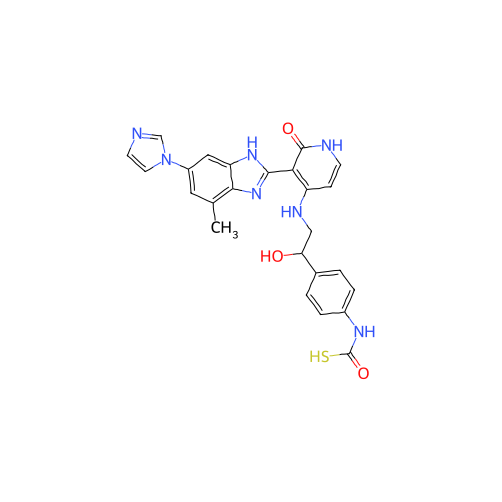 Cc1cc(-n2ccnc2)cc2[nH]c(-c3c(NCC(O)c4ccc(NC(=O)S)cc4)cc[nH]c3=O)nc12